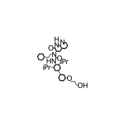 CC(C)c1cc(-c2cccc(OCCCO)c2)cc(C(C)C)c1NC(=O)N(CCc1ccccc1)c1cc2cccnc2[nH]c1=O